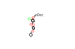 CCCCCCCCCCCCOc1ccc(C(=O)Oc2ccc(OCC3CC[CH]CC3)cc2)cc1Cl